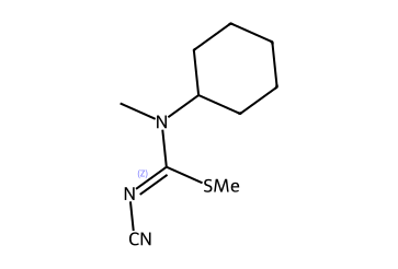 CS/C(=N\C#N)N(C)C1CCCCC1